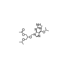 CC(=O)OCC(COC(C)C)OCn1cnc2c(OC(C)C)nc(N)nc21